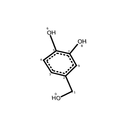 O[CH]c1ccc(O)c(O)c1